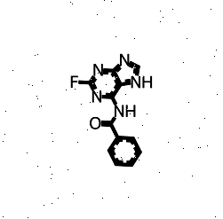 O=C(Nc1nc(F)nc2nc[nH]c12)c1ccccc1